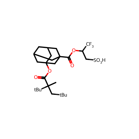 CC(C)(C)CC(C)(C(=O)OC12CC3CC(C1)CC(C(=O)OC(CS(=O)(=O)O)C(F)(F)F)(C3)C2)C(C)(C)C